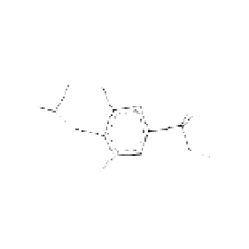 COC(=O)c1cc(C)c(OC(C)O)c(C)c1